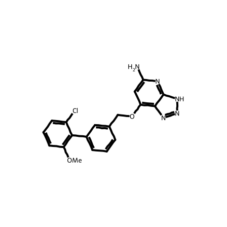 COc1cccc(Cl)c1-c1cccc(COc2cc(N)nc3[nH]nnc23)c1